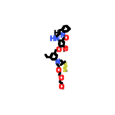 CCc1cc(COc2cc3c(cc2OC)C(=O)N2c4ccccc4C[C@H]2CN3)cc(N(CCOCCOCCOC)CC(C)(C)SSC)c1